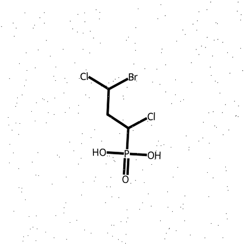 O=P(O)(O)C(Cl)CC(Cl)Br